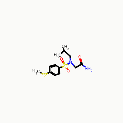 CSc1ccc(S(=O)(=O)N(CC(N)=O)CC(C)C)cc1